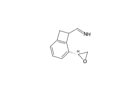 N=CC1Cc2cccc([C@@H]3CO3)c21